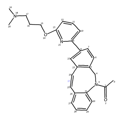 CC(=O)N1Cc2ccc(-c3cccc(OCCCN(C)C)n3)cc2/C=C\c2ccccc21